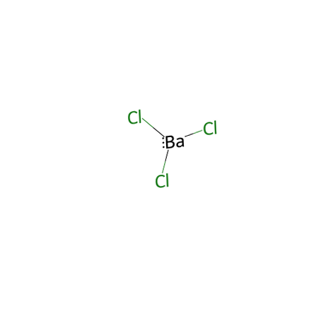 [Cl][Ba]([Cl])[Cl]